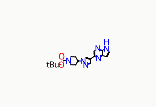 CC(C)(C)OC(=O)N1CCC(n2cc(-c3cnc4[nH]ccc4n3)cn2)CC1